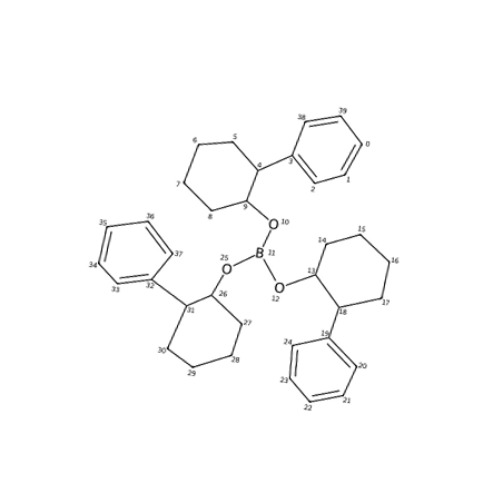 c1ccc(C2CCCCC2OB(OC2CCCCC2c2ccccc2)OC2CCCCC2c2ccccc2)cc1